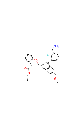 CCOC(=O)Cc1ccccc1OCc1cc2c(c(-c3cccc(CN)c3F)c1)CC(COC)=C2